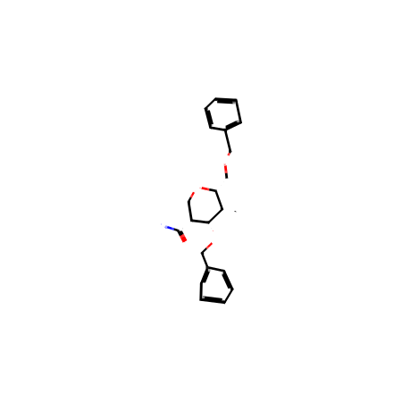 C[C@@H]1[C@H](OCc2ccccc2)[C@H](C(N)=O)CO[C@@H]1COCc1ccccc1